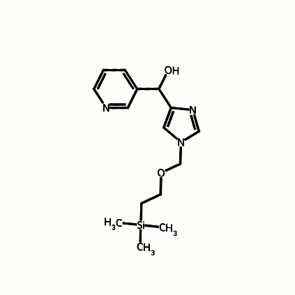 C[Si](C)(C)CCOCn1cnc(C(O)c2cccnc2)c1